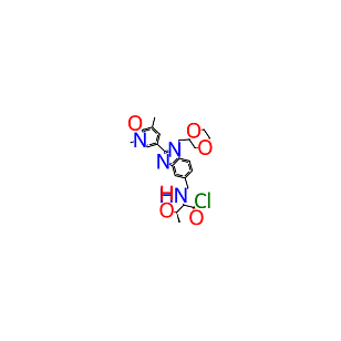 Cc1cc(-c2nc3cc(CN[C@H](C(=O)Cl)[C@@H](C)O)ccc3n2CC2COCCO2)cn(C)c1=O